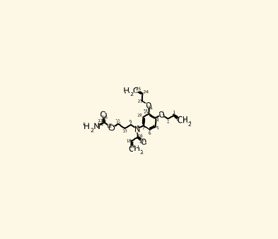 C=CCOc1ccc(N(CCCOC(N)=O)C(=O)C=C)cc1OCC=C